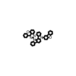 c1ccc2c(c1)Oc1cccc3nc(-n4c5ccccc5c5ccc6c(c7ccccc7n6-c6ccc7oc8ccccc8c7c6)c54)nc-2c13